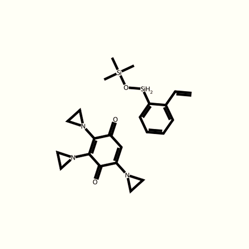 C=Cc1ccccc1[SiH2]O[Si](C)(C)C.O=C1C=C(N2CC2)C(=O)C(N2CC2)=C1N1CC1